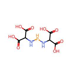 O=C(O)C(NPNC(C(=O)O)C(=O)O)C(=O)O